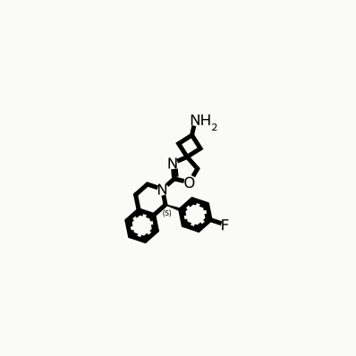 NC1CC2(COC(N3CCc4ccccc4[C@@H]3c3ccc(F)cc3)=N2)C1